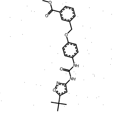 COC(=O)c1cccc(COc2ccc(NC(=O)Nc3cc(C(C)(C)C)on3)cc2)c1